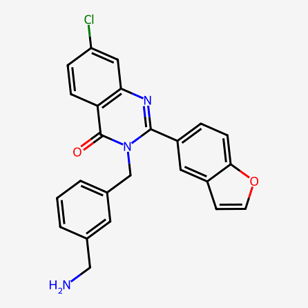 NCc1cccc(Cn2c(-c3ccc4occc4c3)nc3cc(Cl)ccc3c2=O)c1